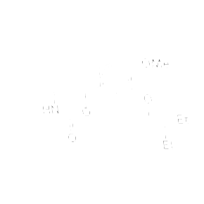 CCC(CC)COc1cc(C2CCNC(=O)O2)ccc1OC